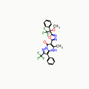 CO[C@@](c1ccccc1)(c1nnc(-c2c(C)[nH]c3c(-c4ccccc4)c(C(F)(F)F)nn3c2=O)o1)C(F)(F)F